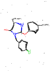 CNC1=C(O)N(Cc2ccc(Cl)cc2)C(Oc2ccc(C#N)cc2)N1